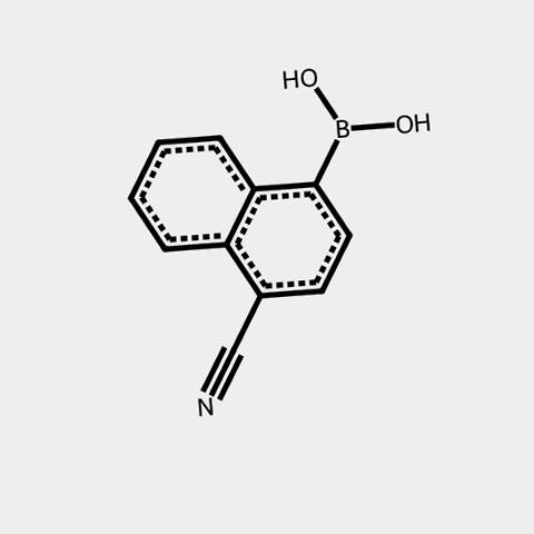 N#Cc1ccc(B(O)O)c2ccccc12